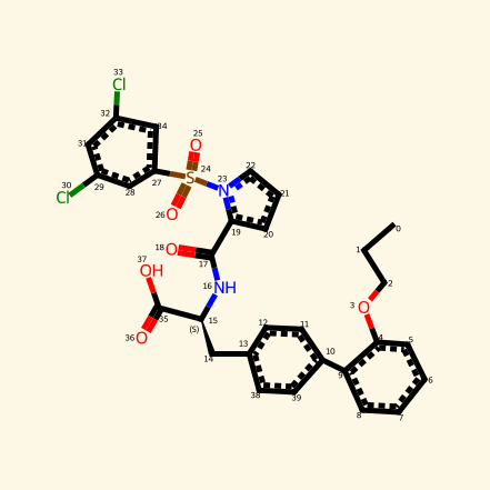 CCCOc1ccccc1-c1ccc(C[C@H](NC(=O)c2cccn2S(=O)(=O)c2cc(Cl)cc(Cl)c2)C(=O)O)cc1